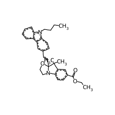 CCCCn1c2ccccc2c2cc(/C=C/C34OCCN3c3ccc(C(=O)OCC)cc3C4(C)C)ccc21